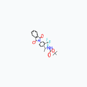 CC(NC(=O)OC(C)(C)C)c1ccc(N2C(=O)c3ccccc3C2=O)cc1C(F)(F)F